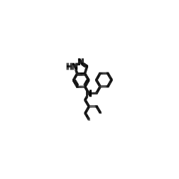 CCC(CC)CN(CC1CCCCC1)c1ccc2[nH]ncc2c1